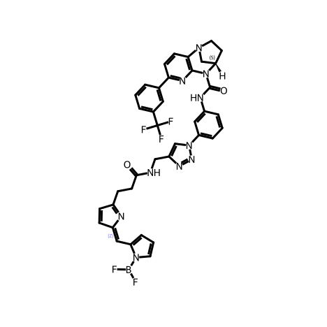 O=C(CCC1=N/C(=C\c2cccn2B(F)F)C=C1)NCc1cn(-c2cccc(NC(=O)N3c4nc(-c5cccc(C(F)(F)F)c5)ccc4N4CC[C@H]3C4)c2)nn1